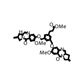 C=C1CC2C=Nc3cc(OCc4cc(CCC(=O)OC)cc(COc5cc6c(cc5OC)C(=O)N5CC(=C)C[C@H]5C=N6)c4)c(OC)cc3C(=O)N2C1